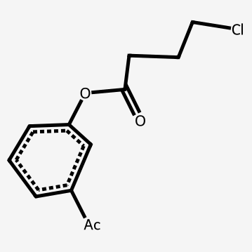 CC(=O)c1cccc(OC(=O)CCCCl)c1